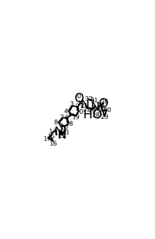 O=C(c1ccc(-c2ccc3c(cnn3CC3CC3)c2)cc1)N1CCN(C(=O)C2(O)CC2)CC1